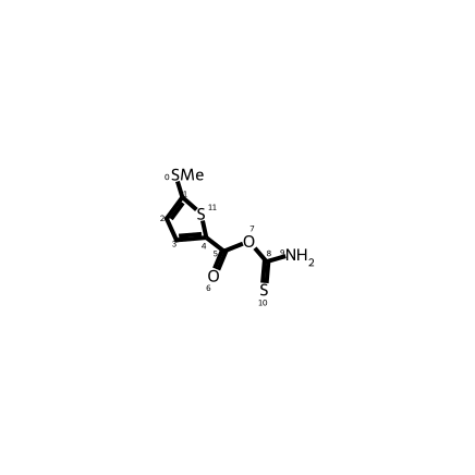 CSc1ccc(C(=O)OC(N)=S)s1